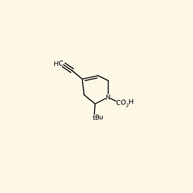 C#CC1=CCN(C(=O)O)C(C(C)(C)C)C1